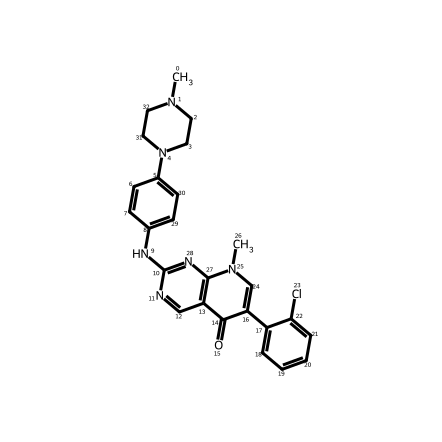 CN1CCN(c2ccc(Nc3ncc4c(=O)c(-c5ccccc5Cl)cn(C)c4n3)cc2)CC1